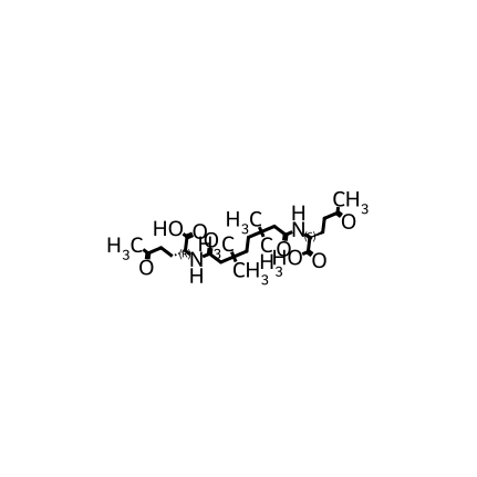 CC(=O)CC[C@H](NC(=O)CC(C)(C)CCC(C)(C)CC(=O)N[C@H](CCC(C)=O)C(=O)O)C(=O)O